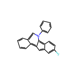 Fc1ccc2c3n(-c4ccccc4)cc4ccccc4c-3cc2c1